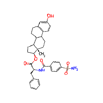 C[C@]12CCC3c4ccc(O)cc4CCC3C1CC[C@@H]2OC(=O)[C@H](Cc1ccccc1)NC(=O)c1ccc(S(N)(=O)=O)cc1